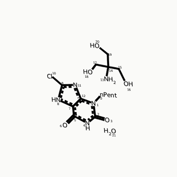 CCCCCn1c(=O)[nH]c(=O)c2[nH]c(Cl)nc21.NC(CO)(CO)CO.O